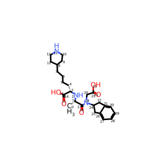 C[C@H](N[C@@H](CCCCC1CCNCC1)C(=O)O)C(=O)N(CC(=O)O)C1Cc2ccccc2C1